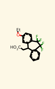 CCOc1ccc2c(c1)C(CC(=O)O)c1ccccc1C(F)(F)C2(F)F